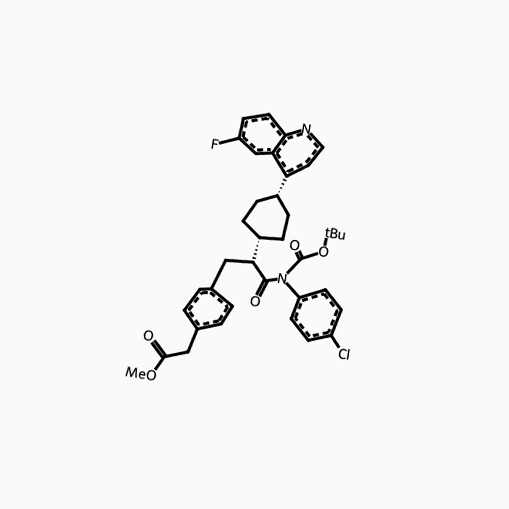 COC(=O)Cc1ccc(CC(C(=O)N(C(=O)OC(C)(C)C)c2ccc(Cl)cc2)[C@H]2CC[C@@H](c3ccnc4ccc(F)cc43)CC2)cc1